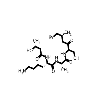 CC(C)C[C@@H](C)CC(=O)C(CO)NC(=O)[C@H](C)NC(=O)[C@H](CCCCN)NC(=O)C[C@@H](C)O